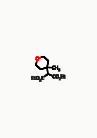 CCOC(=O)C(C(=O)OCC)C1(C)CCOCC1